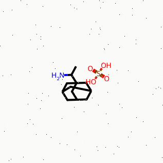 CC(N)C12CC3CC(CC(C3)C1)C2.O=S(=O)(O)O